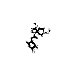 COC(=O)C1(N(C)C(=O)Cc2cc(C)c(Cl)cc2C)CCN(OC)CC1